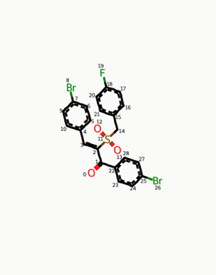 O=C(/C(=C/c1ccc(Br)cc1)S(=O)(=O)Cc1ccc(F)cc1)c1ccc(Br)cc1